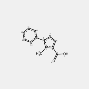 Cc1c(C(=O)O)cnn1-c1ccccn1